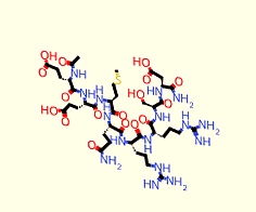 CSCC[C@H](NC(=O)[C@H](CCC(=O)O)NC(=O)[C@H](CCC(=O)O)NC(C)=O)C(=O)N[C@@H](CCC(N)=O)C(=O)N[C@@H](CCCNC(=N)N)C(=O)N[C@@H](CCCNC(=N)N)C(=O)N[C@@H](CO)C(=O)N[C@@H](CC(=O)O)C(N)=O